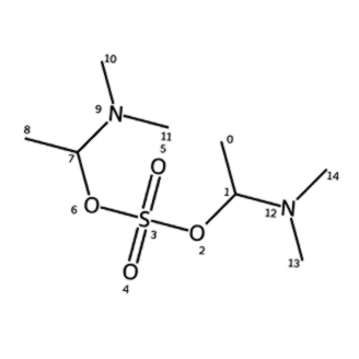 CC(OS(=O)(=O)OC(C)N(C)C)N(C)C